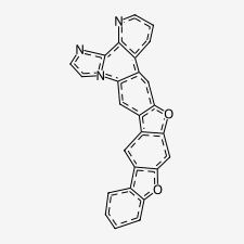 c1ccc2c(c1)oc1cc3oc4cc5c6cccnc6c6nccn6c5cc4c3cc12